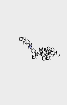 [C-]#[N+]c1ccc(/N=N/c2ccc(N(CC)CCOC(=O)C(C)(CC)CC(C)(C)C(=O)OC)cc2)cn1